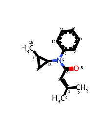 CC(C)=CC(=O)N(c1ccccc1)C1CC1C